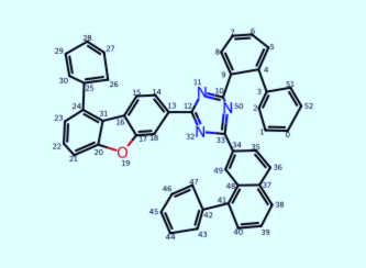 c1ccc(-c2ccccc2-c2nc(-c3ccc4c(c3)oc3cccc(-c5ccccc5)c34)nc(-c3ccc4cccc(-c5ccccc5)c4c3)n2)cc1